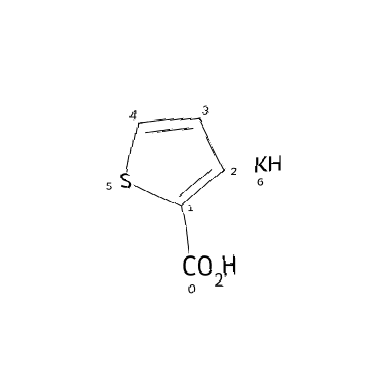 O=C(O)c1cccs1.[KH]